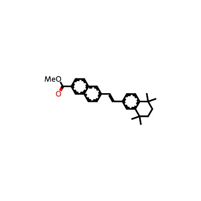 COC(=O)c1ccc2cc(C=Cc3ccc4c(c3)C(C)(C)CCC4(C)C)ccc2c1